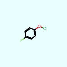 Fc1ccc(OCl)cc1